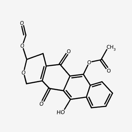 CC(=O)Oc1c2c(c(O)c3ccccc13)C(=O)C1=C(CC(OC=O)OC1)C2=O